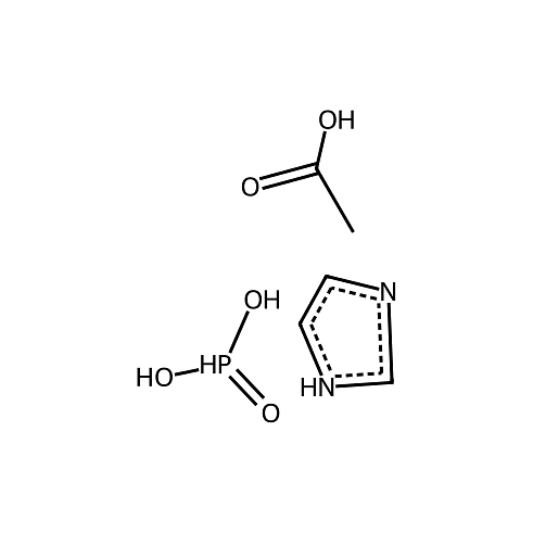 CC(=O)O.O=[PH](O)O.c1c[nH]cn1